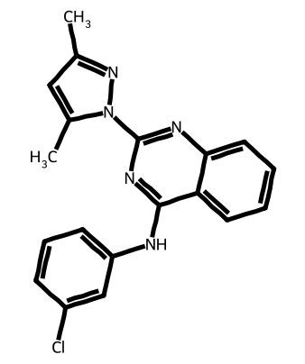 Cc1cc(C)n(-c2nc(Nc3cccc(Cl)c3)c3ccccc3n2)n1